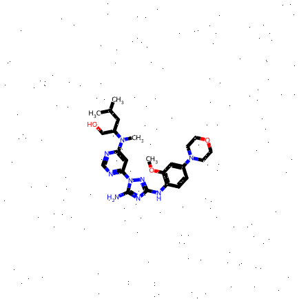 COc1cc(N2CCOCC2)ccc1Nc1nc(N)n(-c2cc(N(C)C(CO)CC(C)C)ncn2)n1